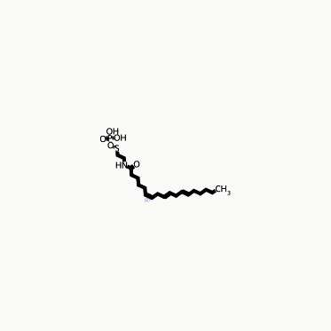 CCCCCC=CCC=CC/C=C\CCCCC(=O)NCCSOP(=O)(O)O